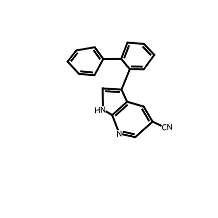 N#Cc1cnc2[nH]cc(-c3ccccc3-c3ccccc3)c2c1